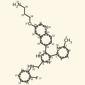 Cc1cccc(-c2nc(CNc3ccccc3F)[nH]c2-c2ccc3ncc(OCCCN)cc3c2)n1